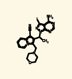 CC(c1c(C#N)c2ccccn2c1CN1CCOCC1)n1nc(I)c2c(N)ncnc21